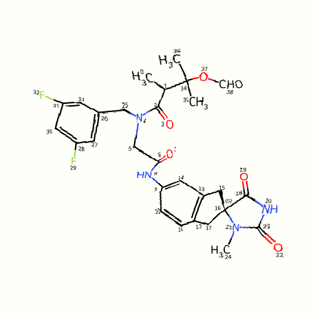 CC(C(=O)N(CC(=O)Nc1ccc2c(c1)C[C@@]1(C2)C(=O)NC(=O)N1C)Cc1cc(F)cc(F)c1)C(C)(C)OC=O